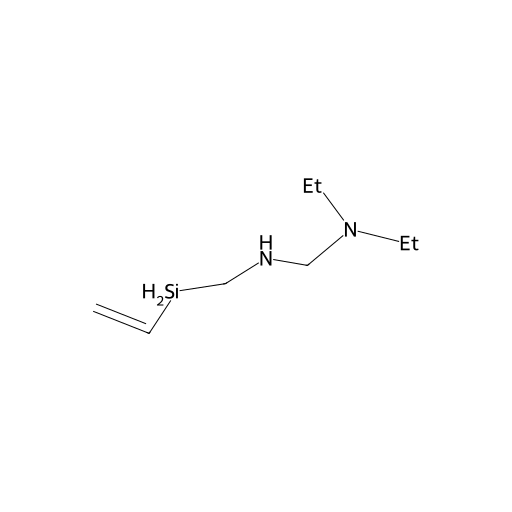 C=C[SiH2]CNCN(CC)CC